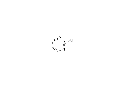 [O-][n+]1ncccp1